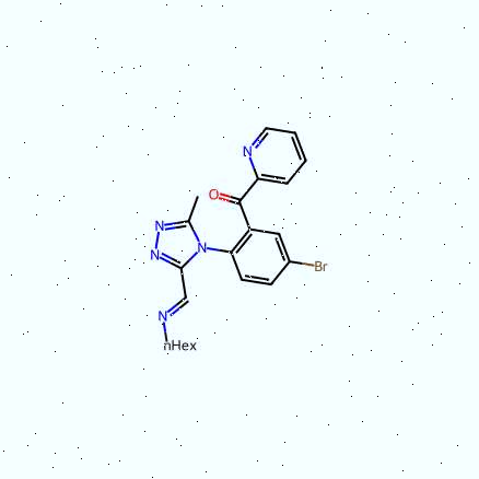 CCCCCCN=Cc1nnc(C)n1-c1ccc(Br)cc1C(=O)c1ccccn1